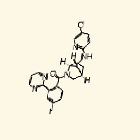 O=C(c1ccc(F)cc1-c1ncccn1)N1C[C@@H]2CC[C@H]1[C@H](Nc1ccc(Cl)cn1)C2